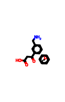 NCc1cccc(C(=O)CC(=O)O)c1.c1cc2ccc1CO2